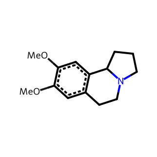 COc1cc2c(cc1OC)C1CCCN1CC2